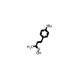 CC(C=Cc1ccc(C(C)(C)C)cc1)=NO